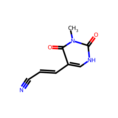 Cn1c(=O)[nH]cc(C=CC#N)c1=O